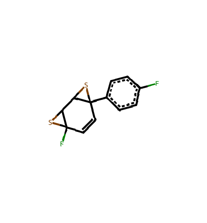 Fc1ccc(C23C=CC4(F)SC4C2S3)cc1